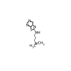 CN(C)CCCNc1nc2cncnc2s1